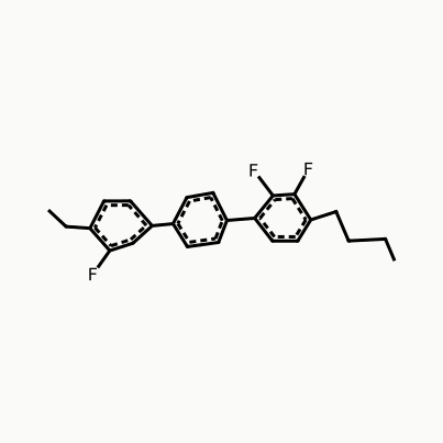 CCCCc1ccc(-c2ccc(-c3ccc(CC)c(F)c3)cc2)c(F)c1F